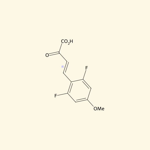 COc1cc(F)c(/C=C/C(=O)C(=O)O)c(F)c1